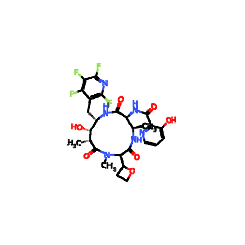 C[C@H]1NC(=O)C(C2CCO2)N(C)C(=O)[C@H](C)[C@H](O)[C@H](Cc2c(F)nc(F)c(F)c2F)NC(=O)[C@H]1NC(=O)c1ncccc1O